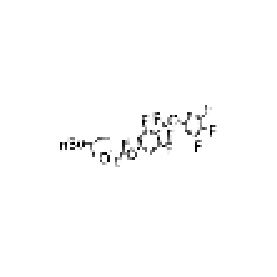 CCCCC1CCC(C(F)(F)Oc2cc(F)c(C(F)(F)Oc3cc(F)c(F)c(F)c3)c(F)c2)OC1